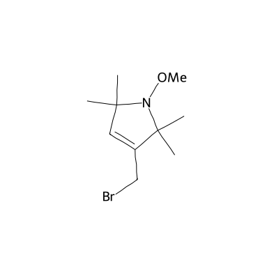 CON1C(C)(C)C=C(CBr)C1(C)C